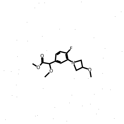 COC(=O)C(OC)c1ccc(F)c(N2CC(OC)C2)c1